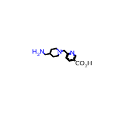 NCC1CCN(Cc2ccc(C(=O)O)cn2)CC1